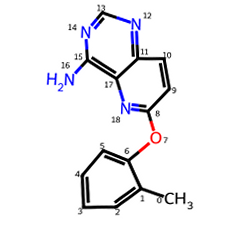 Cc1ccccc1Oc1ccc2ncnc(N)c2n1